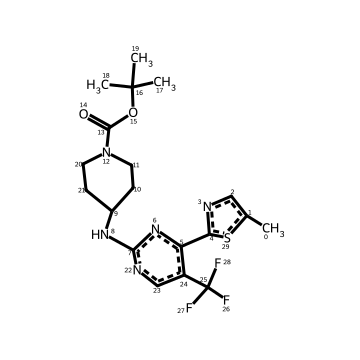 Cc1cnc(-c2nc(NC3CCN(C(=O)OC(C)(C)C)CC3)ncc2C(F)(F)F)s1